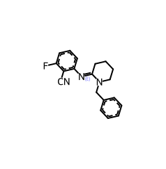 N#Cc1c(F)cccc1/N=C1\CCCCN1Cc1ccccc1